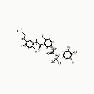 CCNc1cc(NC(=O)c2cc(NC(=O)[C@H]3[C@H](c4cc(Cl)c(Cl)c(Cl)c4)C3(Cl)Cl)ccc2F)c(F)cc1F